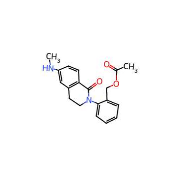 CNc1ccc2c(c1)CCN(c1ccccc1COC(C)=O)C2=O